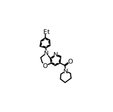 CCc1ccc(N2CCOc3cc(C(=O)N4CCCCC4)cnc32)cc1